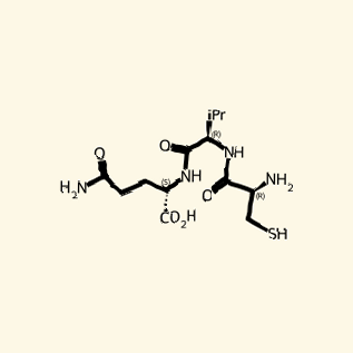 CC(C)[C@@H](NC(=O)[C@@H](N)CS)C(=O)N[C@@H](CCC(N)=O)C(=O)O